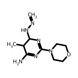 C=NNC1N=C(N2CCOCC2)N=C(N)C1C